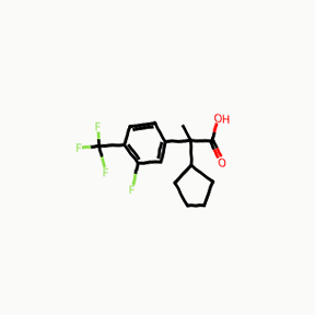 CC(C(=O)O)(c1ccc(C(F)(F)F)c(F)c1)C1CCCC1